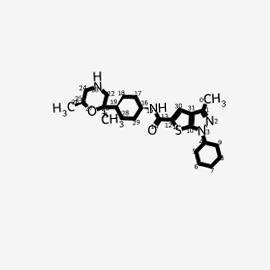 Cc1nn(C2CCCCC2)c2sc(C(=O)N[C@H]3CC[C@H]([C@]4(C)CNC[C@H](C)O4)CC3)cc12